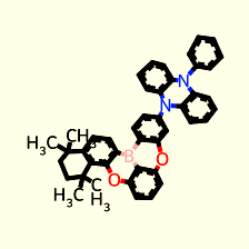 CC1(C)CCC(C)(C)c2c1ccc1c2Oc2cccc3c2B1c1ccc(N2c4ccccc4N(c4ccccc4)c4ccccc42)cc1O3